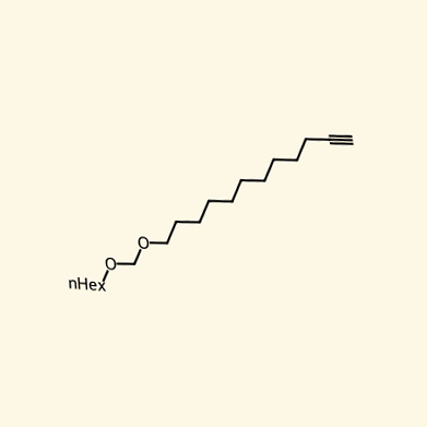 C#CCCCCCCCCCCOCOCCCCCC